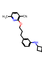 Cc1ccc(C#N)c(OCCCc2cccc(NC3CC(O)C3)c2)n1